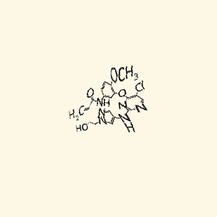 C=CC(=O)Nc1ccc(OC)c(Oc2nc(Nc3cnn(CCO)c3)ncc2Cl)c1